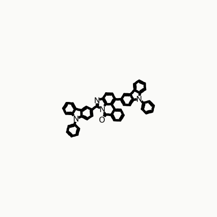 O=c1c2ccccc2c2c(-c3ccc4c(c3)c3ccccc3n4-c3ccccc3)ccc3nc(-c4ccc5c(c4)c4ccccc4n5-c4ccccc4)n1c32